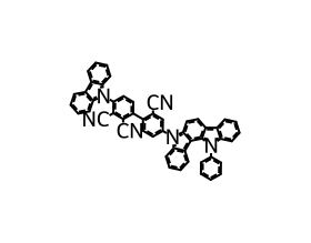 N#Cc1cc(-n2c3ccccc3c3c2ccc2c4ccccc4n(-c4ccccc4)c23)ccc1-c1ccc(-n2c3ccccc3c3ccccc32)c(C#N)c1C#N